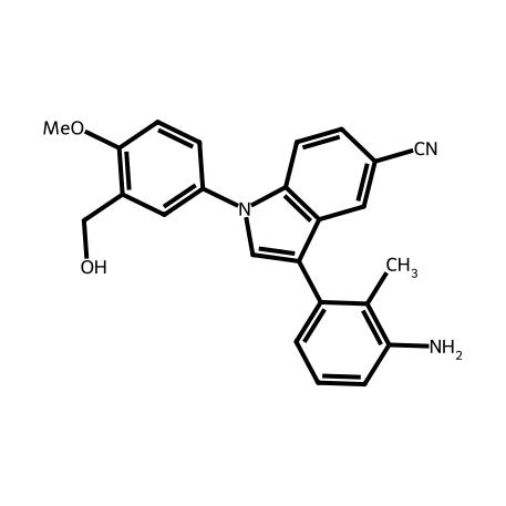 COc1ccc(-n2cc(-c3cccc(N)c3C)c3cc(C#N)ccc32)cc1CO